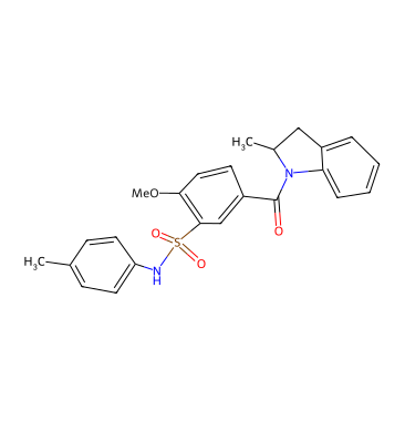 COc1ccc(C(=O)N2c3ccccc3CC2C)cc1S(=O)(=O)Nc1ccc(C)cc1